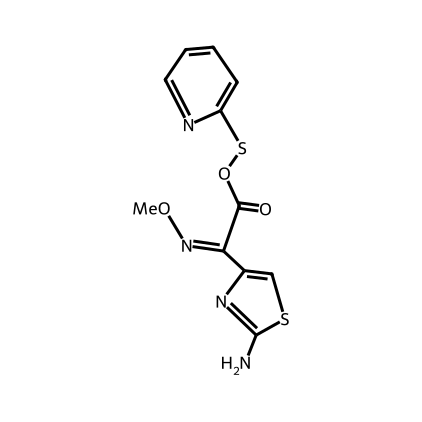 CON=C(C(=O)OSc1ccccn1)c1csc(N)n1